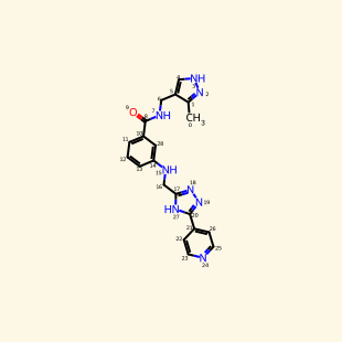 Cc1n[nH]cc1CNC(=O)c1cccc(NCc2nnc(-c3ccncc3)[nH]2)c1